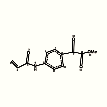 C=CC(=O)Nc1ccc(C(=O)C(=O)OC)cc1